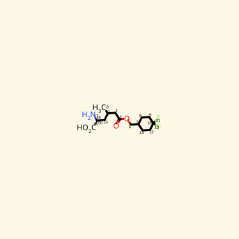 CC(CC(=O)OCC1CCC(F)(F)CC1)C[C@H](N)C(=O)O